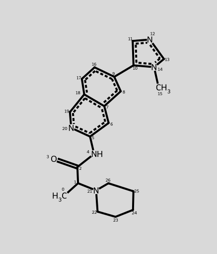 CC(C(=O)Nc1cc2cc(-c3cncn3C)ccc2cn1)N1CCCCC1